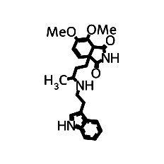 COC1=C(OC)C2C(=O)NC(=O)C2(CCC(C)NCCc2c[nH]c3ccccc23)C=C1